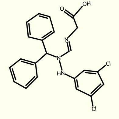 O=C(O)CN=CN(Nc1cc(Cl)cc(Cl)c1)C(c1ccccc1)c1ccccc1